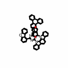 c1ccc(-c2nc(-c3cccc4oc5ccccc5c34)nc(-n3c4ccccc4c4ccc5c6ccccc6n(-c6cccc(-c7ccc8c9ccccc9c9ccccc9c8c7)c6)c5c43)n2)cc1